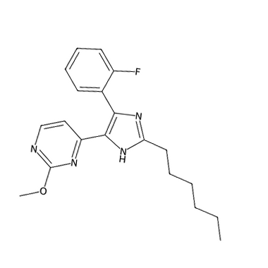 CCCCCCc1nc(-c2ccccc2F)c(-c2ccnc(OC)n2)[nH]1